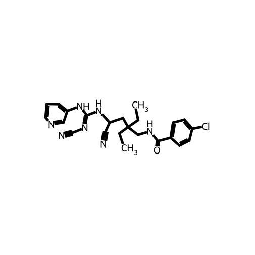 CCC(CC)(CNC(=O)c1ccc(Cl)cc1)CC(C#N)NC(=NC#N)Nc1cccnc1